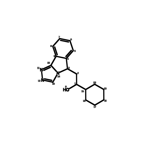 OC(CC1c2ccccc2-c2nncn21)C1CCCCC1